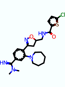 CN(C)C(=N)c1ccc(C2=NOC(CNC(=O)c3ccc(Cl)s3)C2)c(N2CCCCCC2)c1